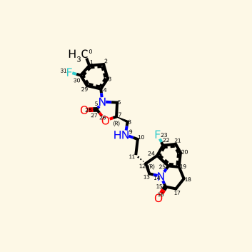 Cc1ccc(N2C[C@@H](CNCC[C@H]3CN4C(=O)CCc5ccc(F)c3c54)OC2=O)cc1F